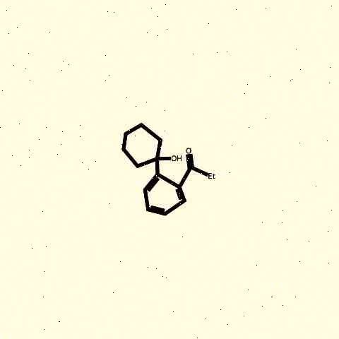 CCC(=O)c1ccccc1C1(O)CCCCC1